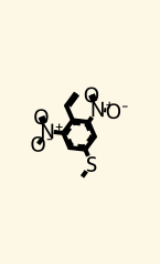 C=Cc1c([N+](=O)[O-])cc(SC)cc1[N+](=O)[O-]